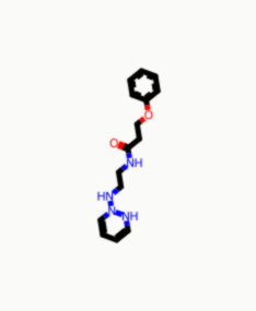 O=C(CCOc1ccccc1)NCCNN1C=CC=CN1